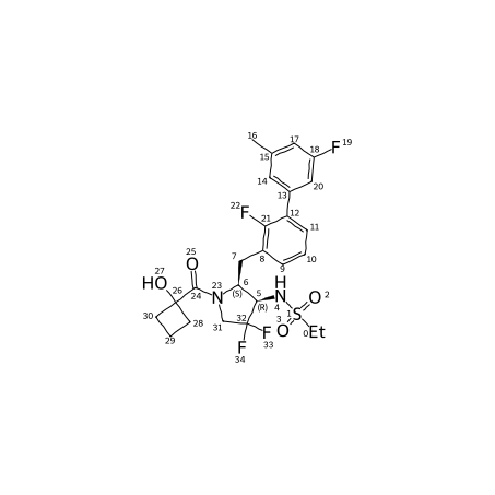 CCS(=O)(=O)N[C@@H]1[C@H](Cc2cccc(-c3cc(C)cc(F)c3)c2F)N(C(=O)C2(O)CCC2)CC1(F)F